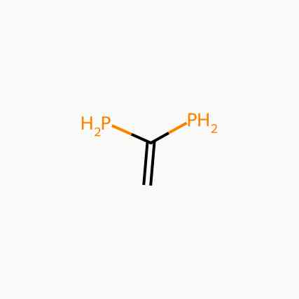 C=C(P)P